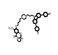 Cc1cc2c(cc1OCCCCN1CCN(CCCn3c4ccc(-c5ccc(F)cc5)cc4c4cc(-c5ccc(F)cc5)ccc43)CC1)N=C[C@@H]1CCCN1C2=O